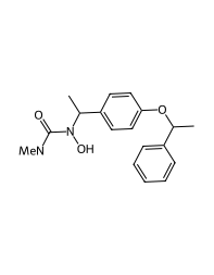 CNC(=O)N(O)C(C)c1ccc(OC(C)c2ccccc2)cc1